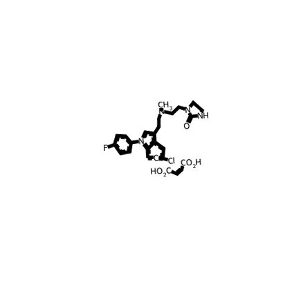 CN(CCc1cn(-c2ccc(F)cc2)c2ccc(Cl)cc12)CCN1CCNC1=O.O=C(O)/C=C\C(=O)O